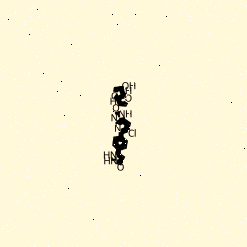 O=C1CC(c2ccc(-c3nc4nc(O[C@@H]5CO[C@H]6[C@@H]5OC[C@H]6O)[nH]c4cc3Cl)cc2)NN1